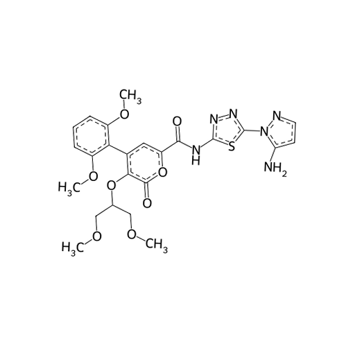 COCC(COC)Oc1c(-c2c(OC)cccc2OC)cc(C(=O)Nc2nnc(-n3nccc3N)s2)oc1=O